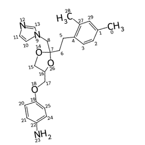 Cc1ccc(CCC2(Cn3ccnc3)OCC(COc3ccc(N)cc3)O2)c(C)c1